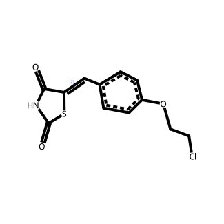 O=C1NC(=O)/C(=C/c2ccc(OCCCl)cc2)S1